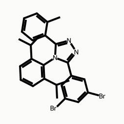 Cc1ccccc1-c1nnc(-c2cc(Br)cc(Br)c2)n1-c1c(C(C)C)cccc1C(C)C